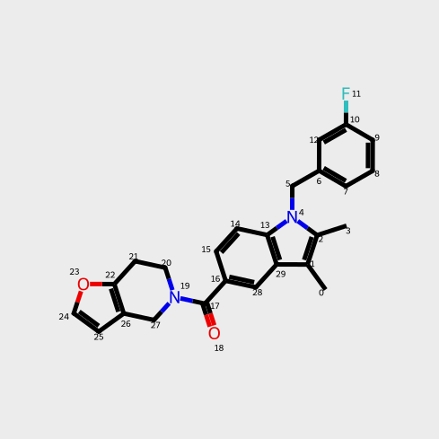 Cc1c(C)n(Cc2cccc(F)c2)c2ccc(C(=O)N3CCc4occc4C3)cc12